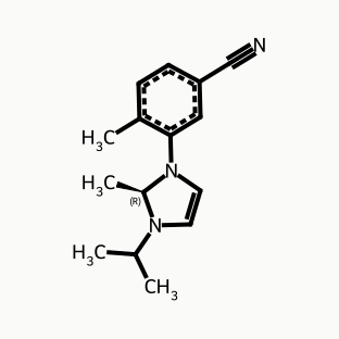 Cc1ccc(C#N)cc1N1C=CN(C(C)C)[C@H]1C